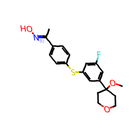 COC1(c2cc(F)cc(Sc3ccc(/C(C)=N/O)cc3)c2)CCOCC1